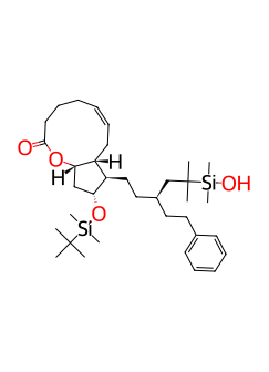 CC(C)(C[C@@H](CCc1ccccc1)CC[C@@H]1[C@H]2C/C=C\CCCC(=O)O[C@H]2C[C@H]1O[Si](C)(C)C(C)(C)C)[Si](C)(C)O